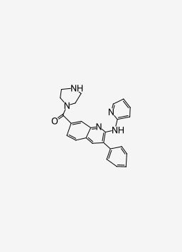 O=C(c1ccc2cc(-c3ccccc3)c(Nc3ccccn3)nc2c1)N1CCNCC1